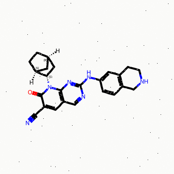 N#Cc1cc2cnc(Nc3ccc4c(c3)CCNC4)nc2n([C@H]2C[C@@H]3CC[C@H]2C3)c1=O